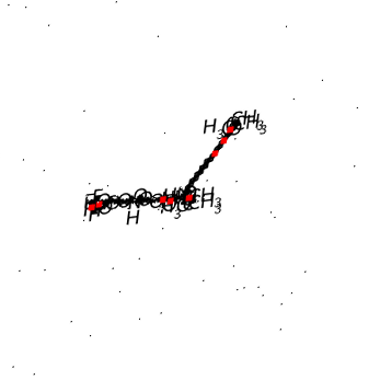 CC(C)(C)OC(=O)CCCCCCCCCCCCCCCCCCC(=O)NC(CCC(=O)NCCOCCOCC(=O)NCCOCCOCC(=O)Oc1c(F)c(F)c(F)c(F)c1F)C(=O)OC(C)(C)C